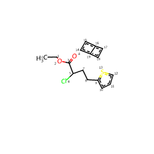 CCOC(=O)C(Cl)CCc1cccs1.c1cc2ccc1-2